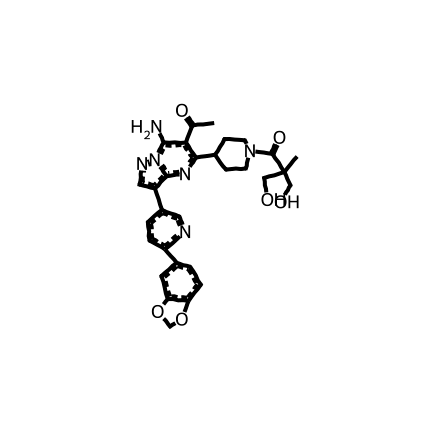 CC(=O)c1c(C2CCN(C(=O)C(C)(CO)CO)CC2)nc2c(-c3ccc(-c4ccc5c(c4)OCO5)nc3)cnn2c1N